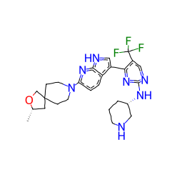 C[C@H]1CC2(CCN(c3ccc4c(-c5nc(N[C@H]6CCCNC6)ncc5C(F)(F)F)c[nH]c4n3)CC2)CO1